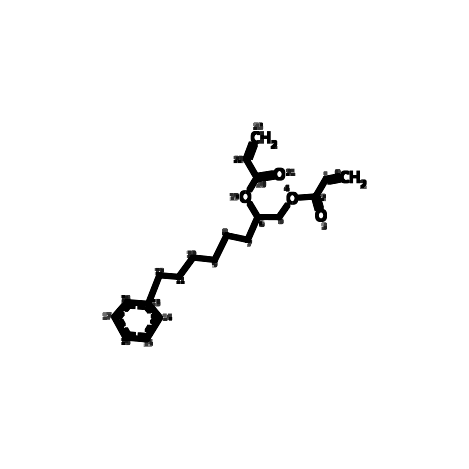 C=CC(=O)OCC(CCCCCCc1ccccc1)OC(=O)C=C